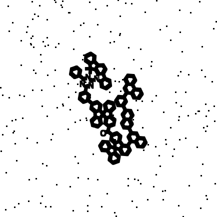 CC1(C)c2ccccc2-c2ccc3c4ccccc4n(-c4nc(-c5ccccc5)nc(-c5cccc(-c6ccc7c(c6)-c6ccccc6C76c7ccccc7-c7ccc(C(=O)c8ccc9c(c8)C8(c%10ccccc%10-c%10ccccc%108)c8cccc(-c%10cc(-c%11ccc%12cc(-c%13cccc(-c%14cc%15ccccc%15c%15ccccc%14%15)c%13)ccc%12c%11)cc%11ccccc%10%11)c8-9)cc76)c5)n4)c3c21